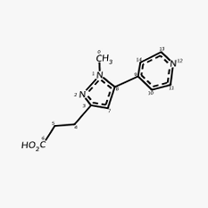 Cn1nc(CCC(=O)O)cc1-c1ccncc1